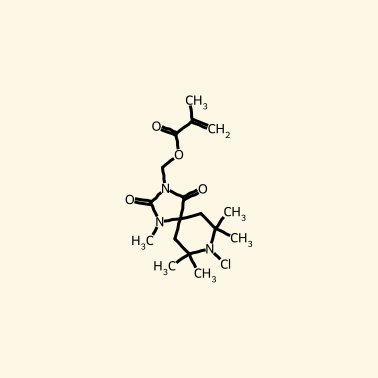 C=C(C)C(=O)OCN1C(=O)N(C)C2(CC(C)(C)N(Cl)C(C)(C)C2)C1=O